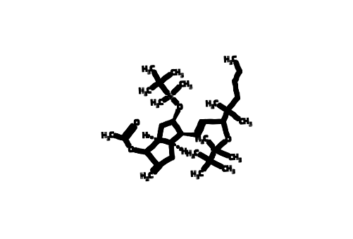 C=C1C[C@@H]2[C@H](/C=C/C(O[Si](C)(C)C(C)(C)C)C(C)(C)CCCC)[C@H](O[Si](C)(C)C(C)(C)C)C[C@@H]2C1OC(C)=O